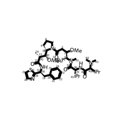 CC[C@@H](C)[C@@H](C(CC(=O)N1CCC[C@H]1[C@H](OC)[C@@H](C)C(=O)N[C@@H](Cc1ccccc1)c1nccs1)OC)N(C)C(=O)[C@@H](NC(=O)C(C(C)C)N(C)C)C(C)C